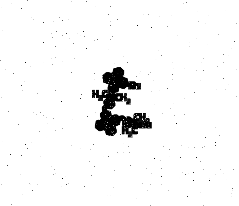 C=c1c2ccc(Cc3ccc(C4(c5ccc(Cc6ccc7c(=C)n(C(C)CC)c(=C)c7c6)cc5)c5ccccc5-c5ccccc54)cc3)cc2c(=C)n1-c1ccc(C2(c3ccc(C(C)CC)cc3)c3ccccc3-c3ccccc32)cc1